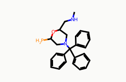 CNCC1CN(C(c2ccccc2)(c2ccccc2)c2ccccc2)CC(P)O1